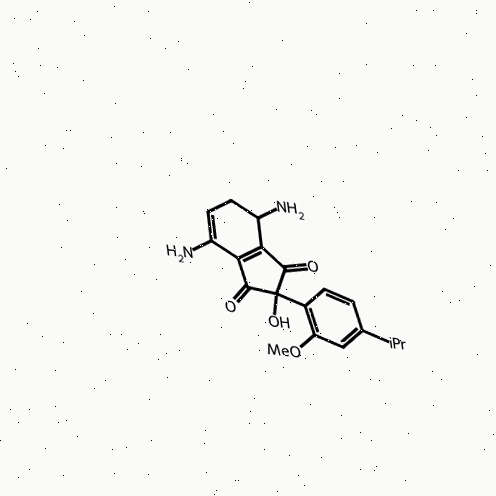 COc1cc(C(C)C)ccc1C1(O)C(=O)C2=C(C1=O)C(N)CC=C2N